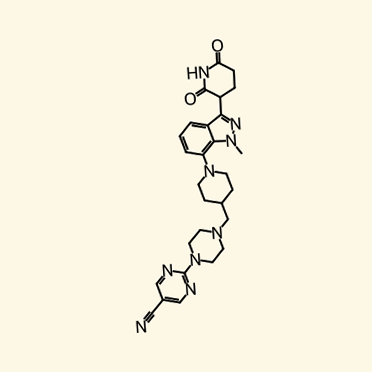 Cn1nc(C2CCC(=O)NC2=O)c2cccc(N3CCC(CN4CCN(c5ncc(C#N)cn5)CC4)CC3)c21